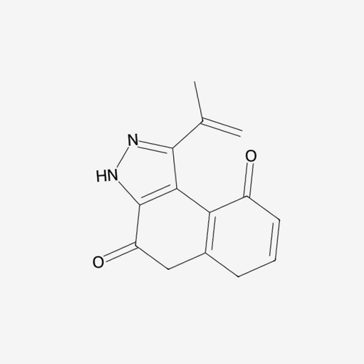 C=C(C)c1n[nH]c2c1C1=C(CC=CC1=O)CC2=O